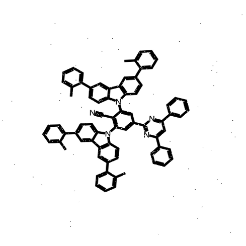 Cc1ccccc1-c1ccc2c(c1)c1cc(-c3ccccc3C)ccc1n2-c1cc(-c2nc(-c3ccccc3)cc(-c3ccccc3)n2)cc(-n2c3ccc(-c4ccccc4C)cc3c3cc(-c4ccccc4C)ccc32)c1C#N